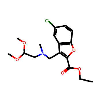 CCOC(=O)c1oc2ccc(Cl)cc2c1CN(C)CC(OC)OC